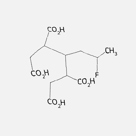 CC(F)CC(C(CC(=O)O)C(=O)O)C(CC(=O)O)C(=O)O